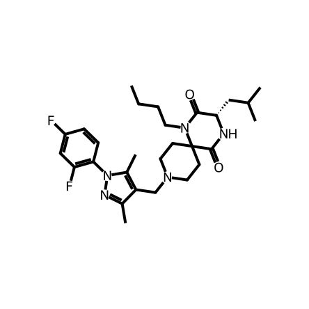 CCCCN1C(=O)[C@H](CC(C)C)NC(=O)C12CCN(Cc1c(C)nn(-c3ccc(F)cc3F)c1C)CC2